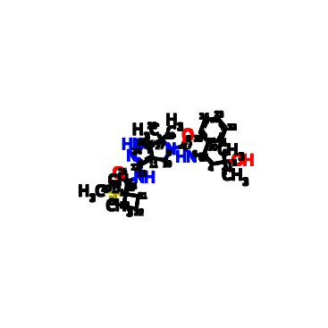 CC(C)(O)C[C@@H](NC(=O)N1Cc2c(NC(=O)C3(S(C)(C)C)CCC3)n[nH]c2C1(C)C)c1ccccc1